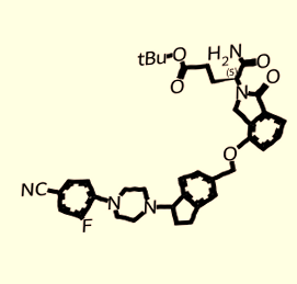 CC(C)(C)OC(=O)CC[C@@H](C(N)=O)N1Cc2c(OCc3ccc4c(c3)CCC4N3CCN(c4ccc(C#N)cc4F)CC3)cccc2C1=O